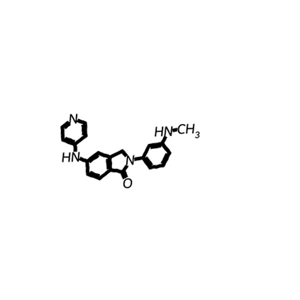 CNc1cccc(N2Cc3cc(Nc4ccncc4)ccc3C2=O)c1